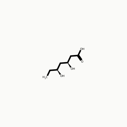 CC[C@H](O)C[C@H](O)CC(=O)O